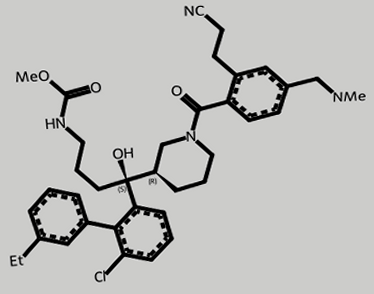 CCc1cccc(-c2c(Cl)cccc2[C@](O)(CCCNC(=O)OC)[C@@H]2CCCN(C(=O)c3ccc(CNC)cc3CCC#N)C2)c1